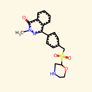 Cn1nc(-c2ccc(CS(=O)(=O)C3CNCCO3)cc2)c2ccccc2c1=O